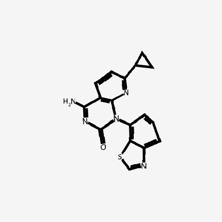 Nc1nc(=O)n(-c2cccc3ncsc23)c2nc(C3CC3)ccc12